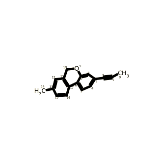 CC#Cc1ccc2c(c1)OCc1cc(C)ccc1-2